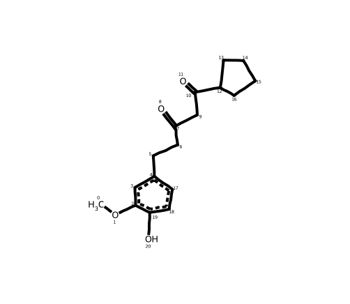 COc1cc(CCC(=O)CC(=O)C2CCCC2)ccc1O